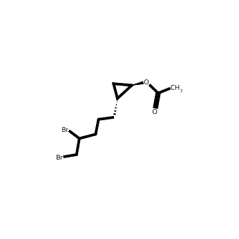 CC(=O)O[C@@H]1C[C@H]1CCCC(Br)CBr